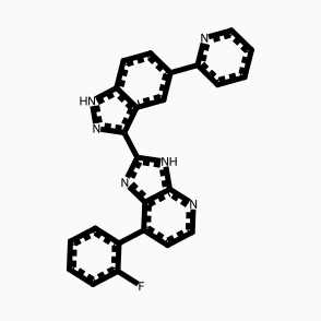 Fc1ccccc1-c1ccnc2[nH]c(-c3n[nH]c4ccc(-c5ccccn5)cc34)nc12